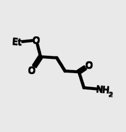 CCOC(=O)CCC(=O)CN